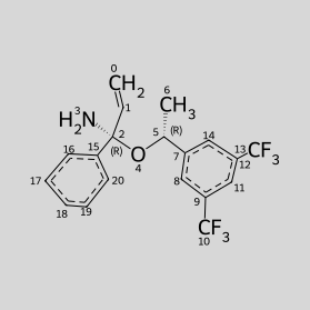 C=C[C@@](N)(O[C@H](C)c1cc(C(F)(F)F)cc(C(F)(F)F)c1)c1ccccc1